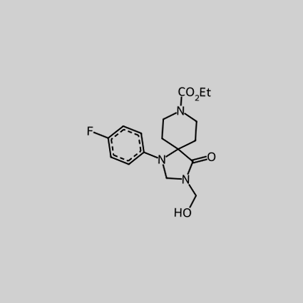 CCOC(=O)N1CCC2(CC1)C(=O)N(CO)CN2c1ccc(F)cc1